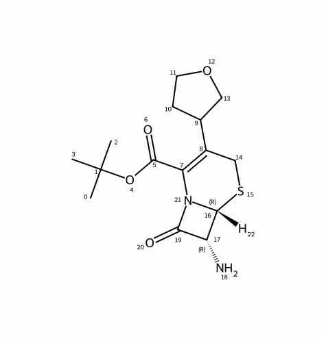 CC(C)(C)OC(=O)C1=C(C2CCOC2)CS[C@@H]2[C@H](N)C(=O)N12